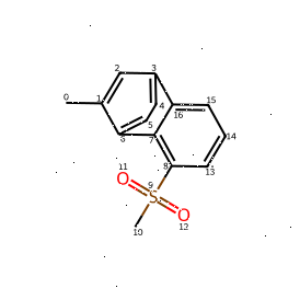 Cc1cc2ccc1c1c(S(C)(=O)=O)[c]ccc21